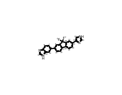 FC1(F)c2cc(-c3ccc4nc[nH]c4c3)ccc2-c2ccc(-c3c[nH]cn3)cc21